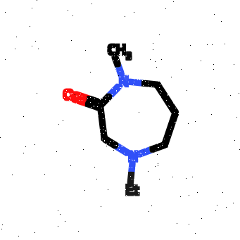 CCN1CCCN(C)C(=O)C1